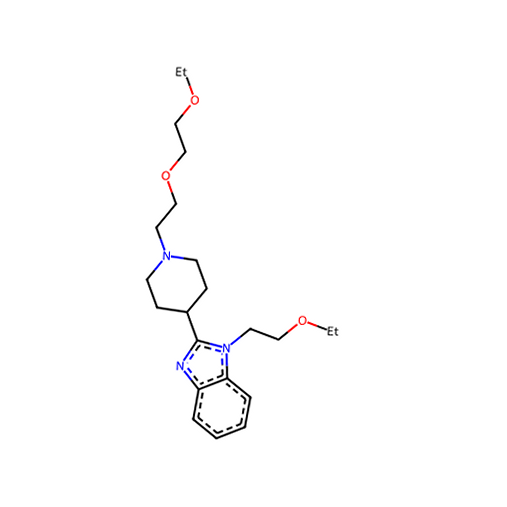 CCOCCOCCN1CCC(c2nc3ccccc3n2CCOCC)CC1